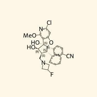 COc1nc(Cl)cc2c1[C@]1(O)[C@H](O)[C@H](CN3CC(F)C3)[C@@H](c3ccccc3)[C@]1(c1ccc(C#N)cc1)O2